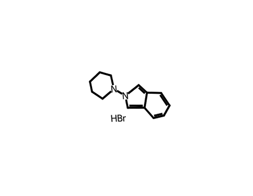 Br.c1ccc2cn(N3CCCCC3)cc2c1